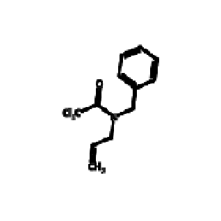 C=CCN(Cc1ccccc1)C(=O)C(Cl)(Cl)Cl